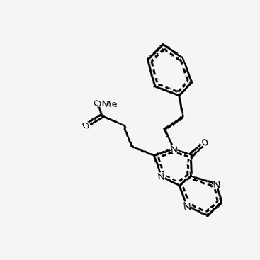 COC(=O)CCc1nc2nccnc2c(=O)n1CCc1ccccc1